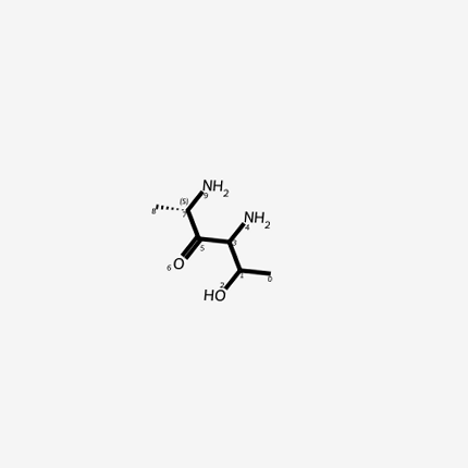 CC(O)C(N)C(=O)[C@H](C)N